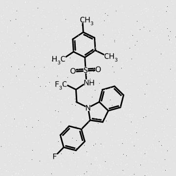 Cc1cc(C)c(S(=O)(=O)NC(Cn2c(-c3ccc(F)cc3)cc3ccccc32)C(F)(F)F)c(C)c1